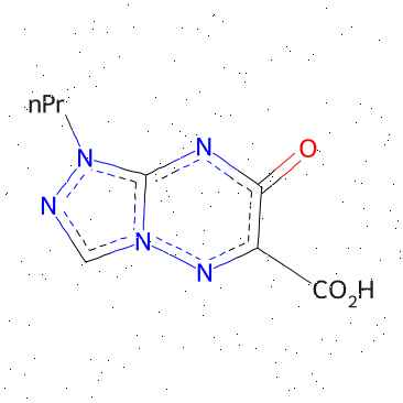 CCCn1ncn2nc(C(=O)O)c(=O)nc12